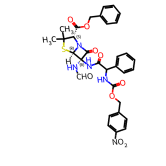 CC1(C)S[C@H]2N(C(=O)[C@@]2(NC=O)NC(=O)C(NC(=O)OCc2ccc([N+](=O)[O-])cc2)c2ccccc2)[C@H]1C(=O)OCc1ccccc1